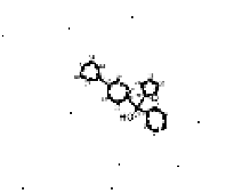 OC(c1ccccc1)(c1ccc(-c2ccccc2)cc1)c1ccco1